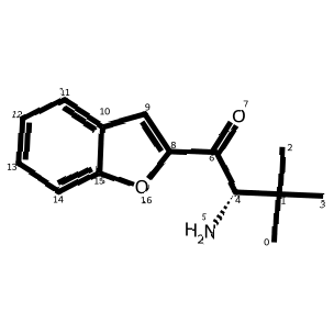 CC(C)(C)[C@H](N)C(=O)c1cc2ccccc2o1